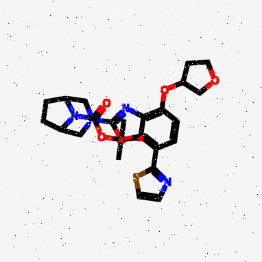 CC(C)(C)OC(=O)N1C2CCC1CN(c1nc3c(OC4CCOC4)ccc(-c4nccs4)c3o1)C2